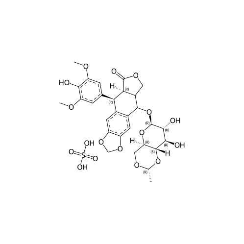 COc1cc([C@@H]2c3cc4c(cc3C(O[C@@H]3O[C@@H]5CO[C@@H](C)O[C@H]5[C@H](O)[C@H]3O)C3COC(=O)[C@@H]32)OCO4)cc(OC)c1O.O=S(=O)(O)O